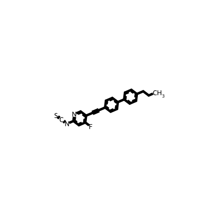 CCCc1ccc(-c2ccc(C#Cc3cnc(N=C=S)cc3F)cc2)cc1